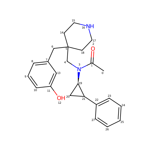 CC(=O)N(CC1(Cc2cccc(O)c2)CCNCC1)[C@@H]1CC1c1ccccc1